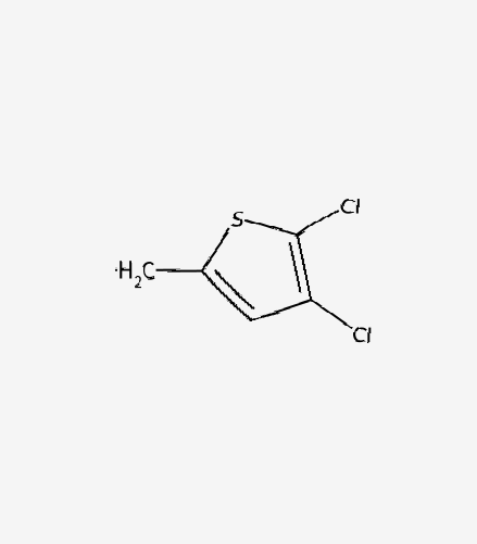 [CH2]c1cc(Cl)c(Cl)s1